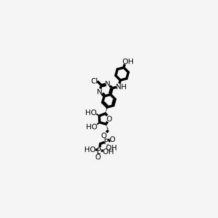 O=P(O)(O)CP(=O)(O)OC[C@H]1O[C@@H](c2ccc3c(NC4CCC(O)CC4)nc(Cl)nc3c2)[C@H](O)[C@@H]1O